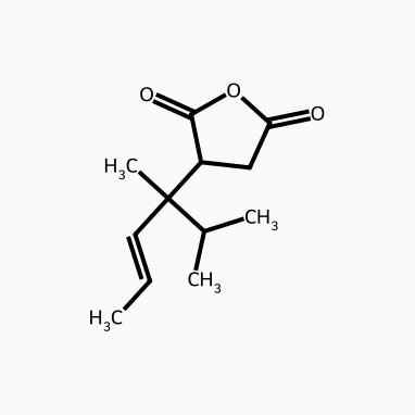 C/C=C/C(C)(C(C)C)C1CC(=O)OC1=O